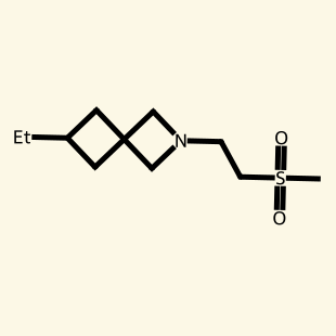 CCC1CC2(C1)CN(CCS(C)(=O)=O)C2